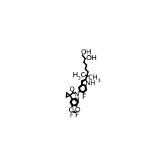 CC(C)(CCCC[C@@H](O)CO)c1cc2cc(NC(=O)C3(c4ccc5c(c4)OC(F)(F)O5)CC3)c(F)cc2[nH]1